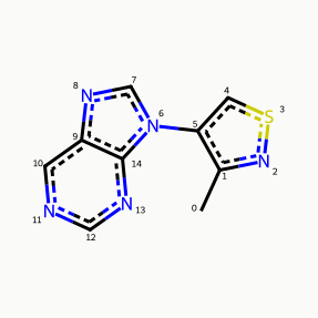 Cc1nscc1-n1cnc2cncnc21